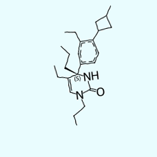 CCCN1C=C(CC)[C@](CCC)(c2ccc(C3CC(C)C3)c(CC)c2)NC1=O